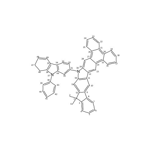 CC1(C)c2ccccc2-c2cc3c4cc5c6ccccc6c6ccccc6c5cc4n(-c4ccc5c6c(n(-c7ccccc7)c5c4)CCC=C6)c3cc21